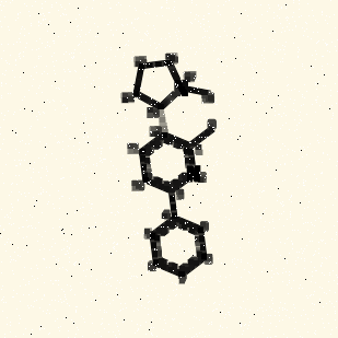 Cc1nc(-c2ccccc2)ccc1[C@@H]1CCCN1C